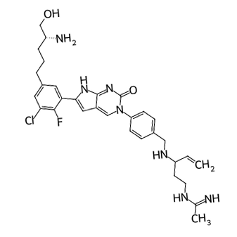 C=CC(CCNC(C)=N)NCc1ccc(-n2cc3cc(-c4cc(CCC[C@@H](N)CO)cc(Cl)c4F)[nH]c3nc2=O)cc1